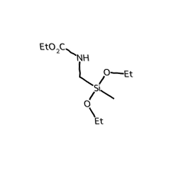 CCOC(=O)NC[Si](C)(OCC)OCC